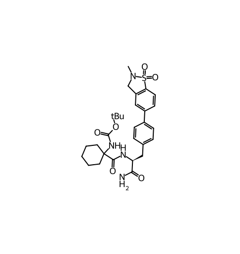 CN1Cc2cc(-c3ccc(C[C@H](NC(=O)C4(NC(=O)OC(C)(C)C)CCCCC4)C(N)=O)cc3)ccc2S1(=O)=O